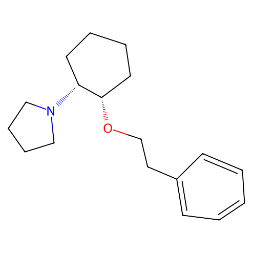 c1ccc(CCO[C@H]2CCCC[C@H]2N2CCCC2)cc1